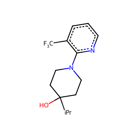 CC(C)C1(O)CCN(c2ncccc2C(F)(F)F)CC1